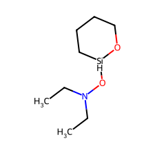 CCN(CC)O[SiH]1CCCCO1